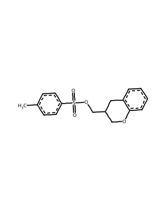 Cc1ccc(S(=O)(=O)OCC2COc3ccccc3C2)cc1